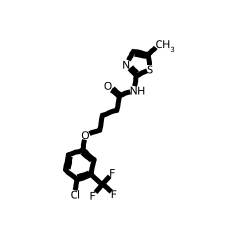 Cc1cnc(NC(=O)CCCOc2ccc(Cl)c(C(F)(F)F)c2)s1